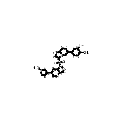 Cc1ccc(-c2ccc3ncc(S(=O)(=O)n4ncc5ncc(-c6cnn(C)c6)cc54)n3c2)cc1F